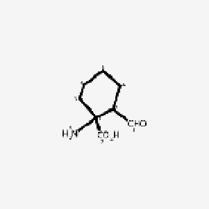 NC1(C(=O)O)CCCCC1C=O